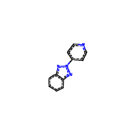 c1ccc2nn(-c3ccncc3)nc2c1